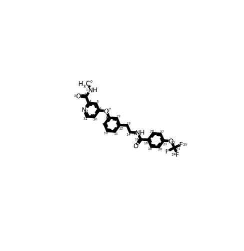 CNC(=O)c1cc(Oc2cccc(CCNC(=O)c3ccc(OC(F)(F)F)cc3)c2)ccn1